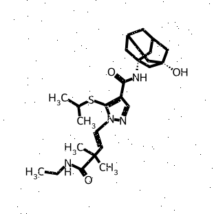 CCNC(=O)C(C)(C)/C=C/n1ncc(C(=O)N[C@]23CC4CC(C[C@@](O)(C4)C2)C3)c1SC(C)C